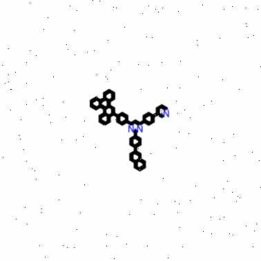 c1cncc(-c2ccc(-c3cc(-c4ccc(-c5cc6c7ccccc7c7ccccc7c6c6ccccc56)cc4)nc(-c4ccc(-c5ccc6ccccc6c5)cc4)n3)cc2)c1